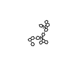 c1ccc(-c2cccc3ccc(-c4ccc(N(c5ccc(-c6ccc7c8ccc9ccccc9c8n(-c8ccccc8)c7c6)cc5)c5cc6ccccc6c6ccccc56)cc4)cc23)cc1